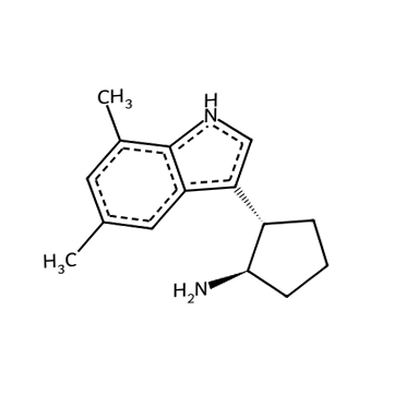 Cc1cc(C)c2[nH]cc([C@@H]3CCC[C@H]3N)c2c1